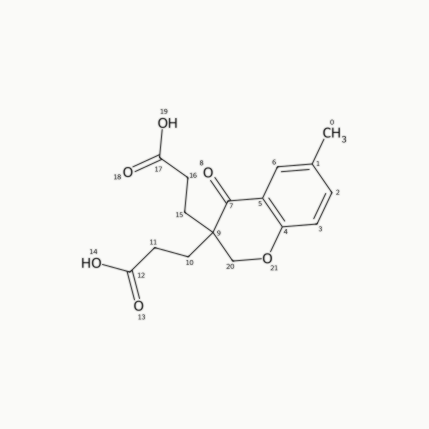 Cc1ccc2c(c1)C(=O)C(CCC(=O)O)(CCC(=O)O)CO2